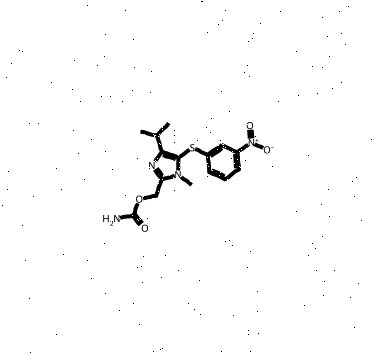 CC(C)c1nc(COC(N)=O)n(C)c1Sc1cccc([N+](=O)[O-])c1